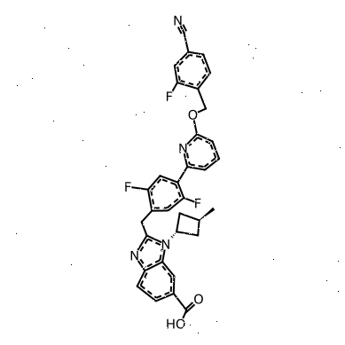 C[C@H]1C[C@H](n2c(Cc3cc(F)c(-c4cccc(OCc5ccc(C#N)cc5F)n4)cc3F)nc3ccc(C(=O)O)cc32)C1